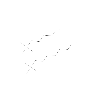 CCCCCCCCCCCCCCCC[N+](C)(C)C.CCCCCCCCCCCCCC[N+](C)(C)C.[Cl-].[Cl-]